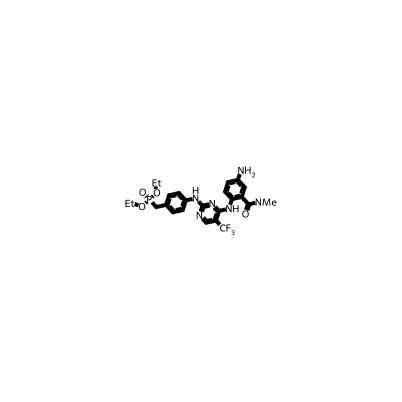 CCOP(=O)(Cc1ccc(Nc2ncc(C(F)(F)F)c(Nc3ccc(N)cc3C(=O)NC)n2)cc1)OCC